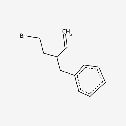 C=CC(CCBr)Cc1ccccc1